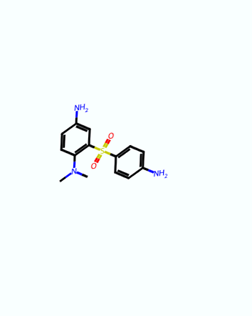 CN(C)c1ccc(N)cc1S(=O)(=O)c1ccc(N)cc1